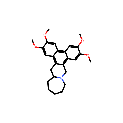 COc1cc2c3c(c4cc(OC)c(OC)cc4c2cc1OC)CN1CCCCCC1C3